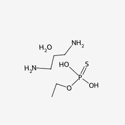 CCOP(O)(O)=S.NCCCN.O